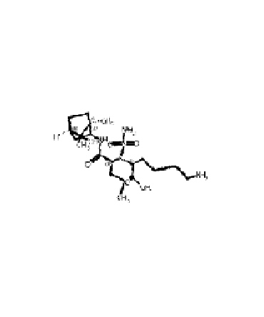 CCC[C@@H](C(=O)N[C@H]1C[C@H]2CC[C@]1(C)C2(C)C)N([C@@H](CCCCN)C(=O)O)S(N)(=O)=O